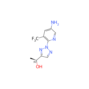 C[C@H](O)c1cnn(-c2ncc(N)cc2C(F)(F)F)n1